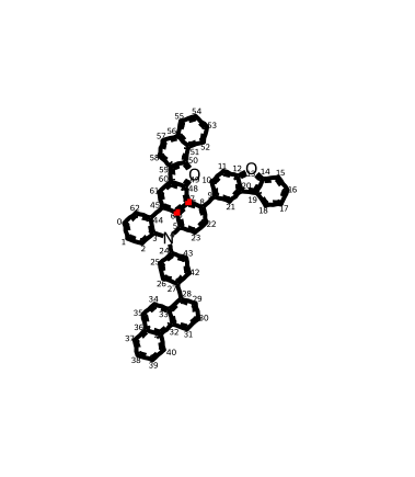 c1ccc(N(c2ccc(-c3ccc4oc5ccccc5c4c3)cc2)c2ccc(-c3cccc4c3ccc3ccccc34)cc2)c(-c2ccc3oc4c5ccccc5ccc4c3c2)c1